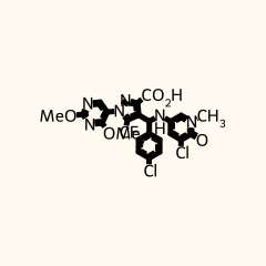 COc1ncc(-n2nc(C(=O)O)c(C(Nc3cc(Cl)c(=O)n(C)c3)c3ccc(Cl)cc3)c2C(F)(F)F)c(OC)n1